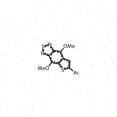 COc1c2cc(C(C)=O)sc2c(OC)c2nsnc12